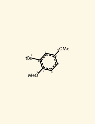 COc1ccc(OC)c(C(C)(C)C)c1